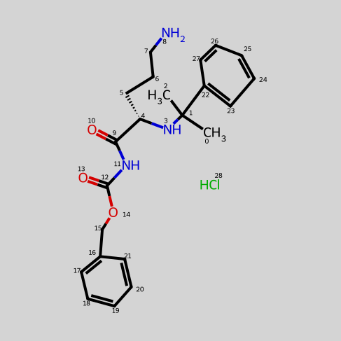 CC(C)(N[C@@H](CCCN)C(=O)NC(=O)OCc1ccccc1)c1ccccc1.Cl